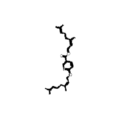 CC(C)=CCCC(C)=CCOC(=O)c1ccc(OCC=C(C)CCC=C(C)C)nc1